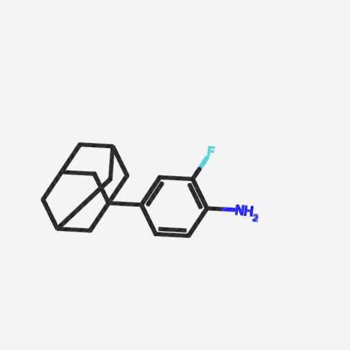 Nc1ccc(C23CC4CC(CC(C4)C2)C3)cc1F